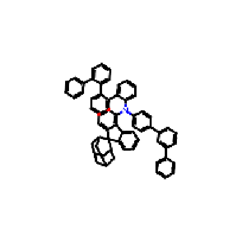 c1ccc(-c2cccc(-c3ccc(N(c4ccccc4-c4ccccc4-c4ccccc4-c4ccccc4)c4cccc5c4-c4ccccc4C54C5CC6CC(C5)CC4C6)cc3)c2)cc1